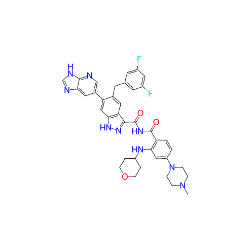 CN1CCN(c2ccc(C(=O)NC(=O)c3n[nH]c4cc(-c5cnc6[nH]cnc6c5)c(Cc5cc(F)cc(F)c5)cc34)c(NC3CCOCC3)c2)CC1